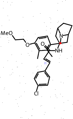 COCCOc1ccc(CN2C3CCC2CC(NC(=O)/C=C/c2ccc(Cl)cc2)C3)c(C)c1C